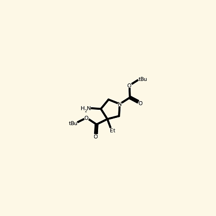 CCC1(C(=O)OC(C)(C)C)CN(C(=O)OC(C)(C)C)CC1N